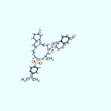 C[C@H]1CN(S(=O)(=O)c2ccc(N(C)C)cc2)CCCN(CC2CCC(F)CC2)CCCN(S(=O)(=O)C2CCc3cc(Cl)ccc3N2)C1